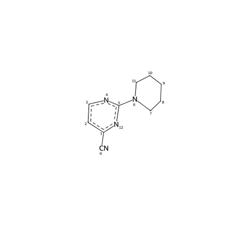 N#Cc1ccnc(N2CCCCC2)n1